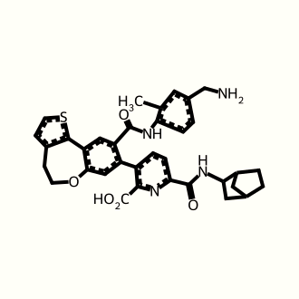 Cc1cc(CN)ccc1NC(=O)c1cc2c(cc1-c1ccc(C(=O)NC3CC4CCC3C4)nc1C(=O)O)OCCc1ccsc1-2